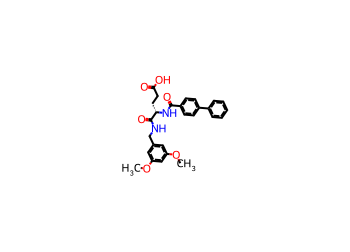 COc1cc(CNC(=O)[C@H](CCC(=O)O)NC(=O)c2ccc(-c3ccccc3)cc2)cc(OC)c1